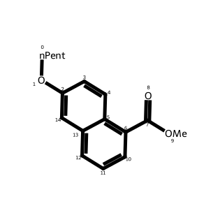 CCCCCOc1ccc2c(C(=O)OC)cccc2c1